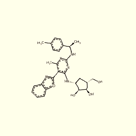 Cc1ccc([C@@H](C)Nc2nc(C)c(-c3nc4ccccc4o3)c(N[C@@H]3C[C@H](CO)[C@@H](O)[C@H]3O)n2)cc1